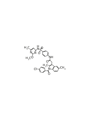 COc1nc(C)cc(NS(=O)(=O)c2ccc(NC(=O)Cc3c(C)n(C(=O)c4ccc(Cl)cc4)c4ccc(C)cc34)cc2)n1